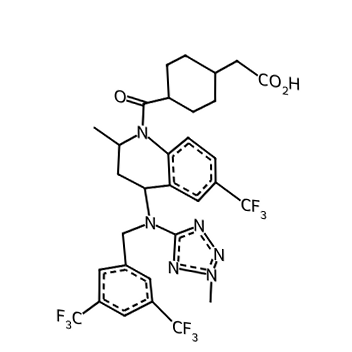 CC1CC(N(Cc2cc(C(F)(F)F)cc(C(F)(F)F)c2)c2nnn(C)n2)c2cc(C(F)(F)F)ccc2N1C(=O)C1CCC(CC(=O)O)CC1